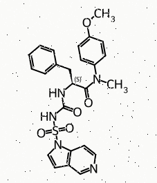 COc1ccc(N(C)C(=O)[C@H](Cc2ccccc2)NC(=O)NS(=O)(=O)n2ccc3cnccc32)cc1